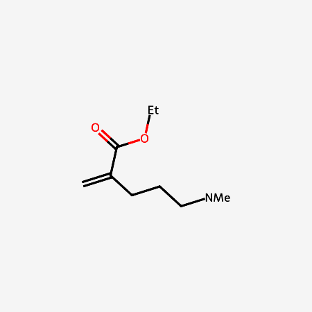 C=C(CCCNC)C(=O)OCC